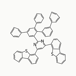 c1ccc(-c2cccc(-c3c(-c4ccccc4)cc(-c4ccccc4)cc3-c3nc(-c4cccc5c4sc4ccccc45)cc(-c4cccc5c4sc4ccccc45)n3)c2)cc1